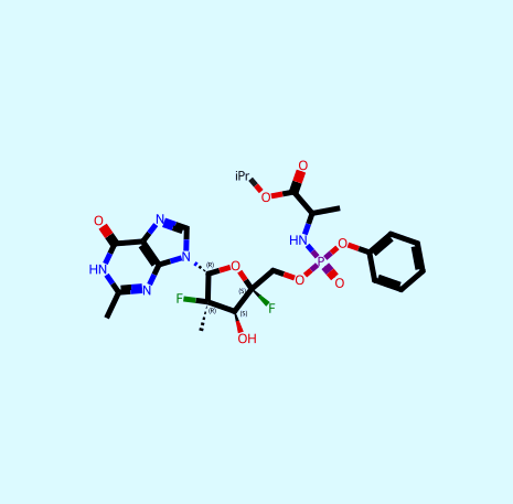 Cc1nc2c(ncn2[C@@H]2O[C@](F)(COP(=O)(NC(C)C(=O)OC(C)C)Oc3ccccc3)[C@@H](O)[C@@]2(C)F)c(=O)[nH]1